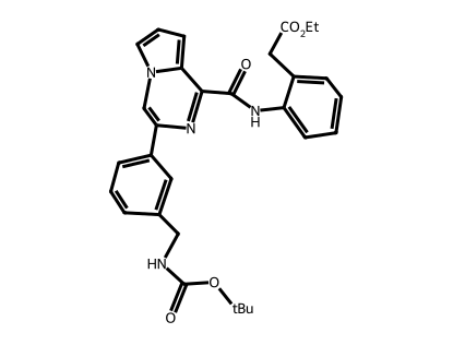 CCOC(=O)Cc1ccccc1NC(=O)c1nc(-c2cccc(CNC(=O)OC(C)(C)C)c2)cn2cccc12